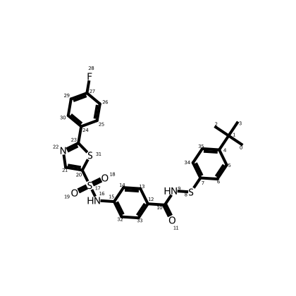 CC(C)(C)c1ccc(SNC(=O)c2ccc(NS(=O)(=O)c3cnc(-c4ccc(F)cc4)s3)cc2)cc1